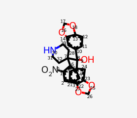 O=[N+]([O-])c1ccccc1C1(C(O)(c2ccc3c(c2)OCO3)c2ccc3c(c2)OCO3)CCNCC1